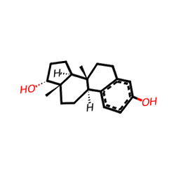 C[C@]12CC[C@@H]3c4ccc(O)cc4CC[C@@]3(C)[C@@H]1CC[C@H]2O